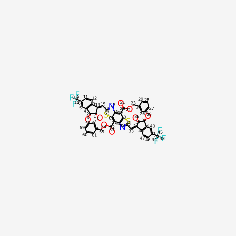 O=C1C(=O)c2cc(C(F)(F)F)ccc2/C1=C/c1nc2c(C(=O)OCc3ccccc3)c3sc(/C=C4\C(=O)C(=O)c5cc(C(F)(F)F)ccc54)nc3c(C(=O)OCc3ccccc3)c2s1